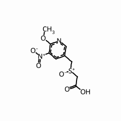 COc1ncc(C[S+]([O-])CC(=O)O)cc1[N+](=O)[O-]